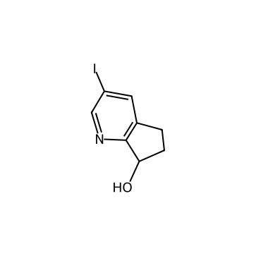 OC1CCc2cc(I)cnc21